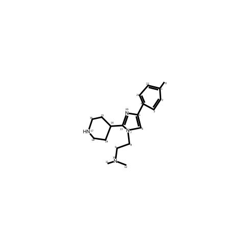 Cc1ccc(-c2cn(CCN(C)C)c(C3CCNCC3)n2)cc1